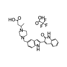 CC(CC(=O)O)N1CCN(Cc2ccc3[nH]c(-c4cc5ccccc5[nH]c4=O)cc3c2)CC1.O=C(O)C(F)(F)F